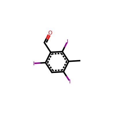 Cc1c(I)cc(I)c(C=O)c1I